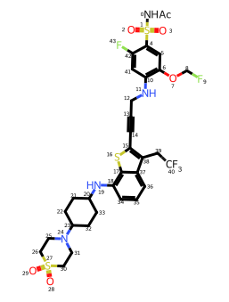 CC(=O)NS(=O)(=O)c1cc(OCF)c(NCC#Cc2sc3c(NC4CCC(N5CCS(=O)(=O)CC5)CC4)cccc3c2CC(F)(F)F)cc1F